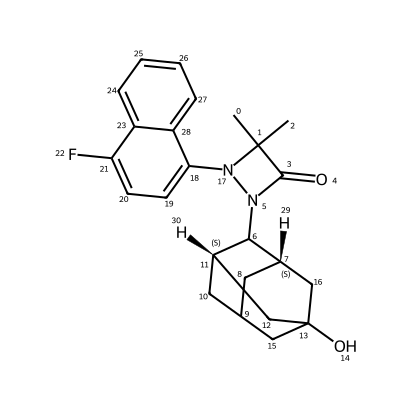 CC1(C)C(=O)N(C2[C@H]3CC4C[C@H]2CC(O)(C4)C3)N1c1ccc(F)c2ccccc12